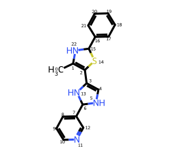 CC1=C(C2=CNC(c3cccnc3)N2)SC(c2ccccc2)N1